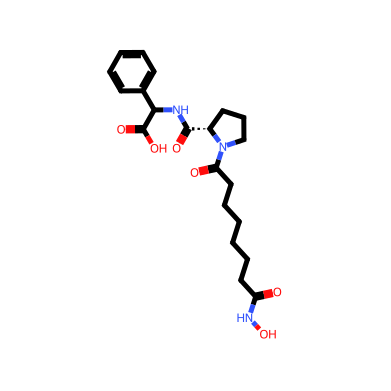 O=C(CCCCCCC(=O)N1CCC[C@H]1C(=O)NC(C(=O)O)c1ccccc1)NO